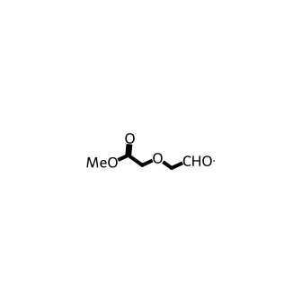 COC(=O)COC[C]=O